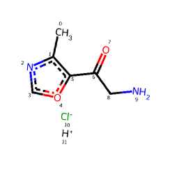 Cc1ncoc1C(=O)CN.[Cl-].[H+]